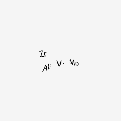 [Al].[Mo].[V].[Zr]